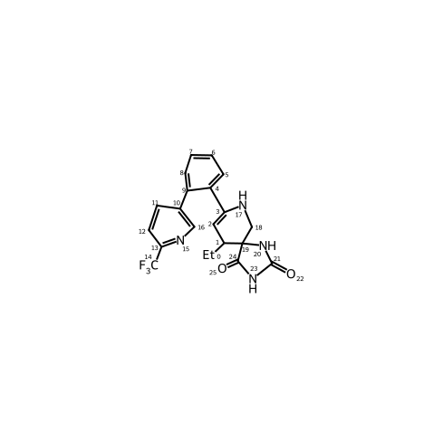 CCC1C=C(c2ccccc2-c2ccc(C(F)(F)F)nc2)NCC12NC(=O)NC2=O